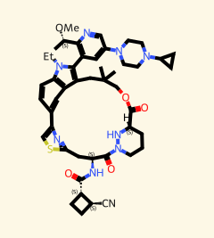 CCn1c(-c2cc(N3CCN(C4CC4)CC3)cnc2[C@H](C)OC)c2c3cc(ccc31)-c1csc(n1)C[C@H](NC(=O)[C@H]1CC[C@@H]1C#N)C(=O)N1CCC[C@H](N1)C(=O)OCC(C)(C)C2